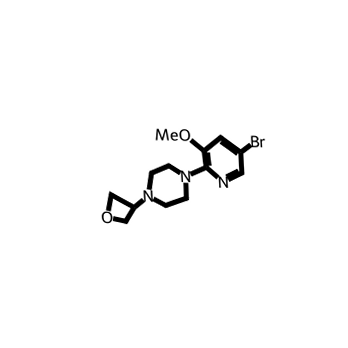 COc1cc(Br)cnc1N1CCN(C2COC2)CC1